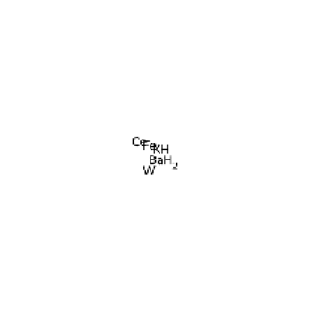 [BaH2].[Ce].[Fe].[KH].[W]